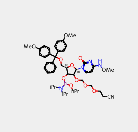 CCCOP(OC1C(OCOCOCCC#N)[C@H](n2ccc(NOC)nc2=O)O[C@@H]1COC(c1ccccc1)(c1ccc(OC)cc1)c1ccc(OC)cc1)N(C(C)C)C(C)C